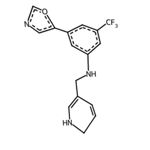 FC(F)(F)c1cc(NCC2=CNCC=C2)cc(-c2cnco2)c1